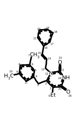 CCc1c(Cc2cc(C)cc(C)c2)n(CC=Cc2ccccc2)c(=O)[nH]c1=O